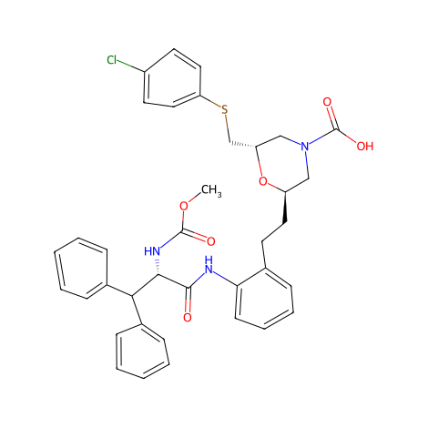 COC(=O)N[C@H](C(=O)Nc1ccccc1CC[C@@H]1CN(C(=O)O)C[C@@H](CSc2ccc(Cl)cc2)O1)C(c1ccccc1)c1ccccc1